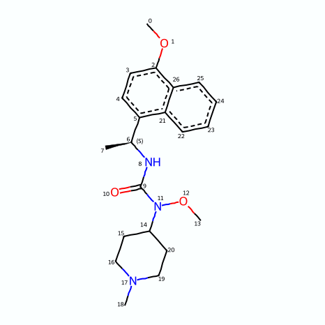 COc1ccc([C@H](C)NC(=O)N(OC)C2CCN(C)CC2)c2ccccc12